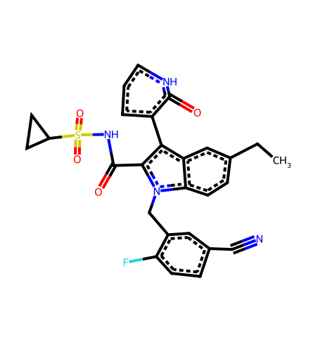 CCc1ccc2c(c1)c(-c1ccc[nH]c1=O)c(C(=O)NS(=O)(=O)C1CC1)n2Cc1cc(C#N)ccc1F